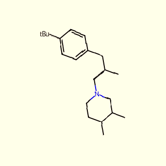 CC(Cc1ccc(C(C)(C)C)cc1)CN1CCC(C)C(C)C1